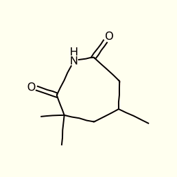 CC1CC(=O)NC(=O)C(C)(C)C1